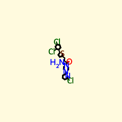 NC(Cc1ccc(-c2ccc(Cl)cc2Cl)s1)C(=O)N1CCN(c2cccc(Cl)n2)CC1